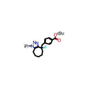 CC(C)n1nnc2c1CCCCCC2(F)Cc1ccc(C(=O)OC(C)(C)C)cc1